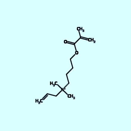 C=CC[N+](C)(C)CCCCOC(=O)C(=C)C